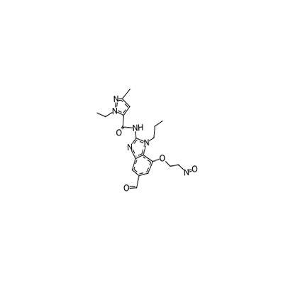 CCCn1c(NC(=O)c2cc(C)nn2CC)nc2cc(C=O)cc(OCCN=O)c21